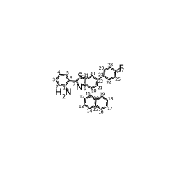 Nc1ccccc1-c1nc2c(-c3cccc4ccccc34)cc(-c3ccc(F)cc3)cc2s1